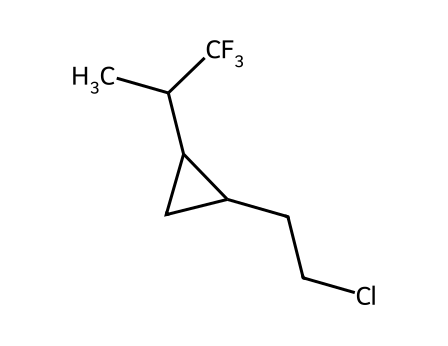 CC(C1CC1CCCl)C(F)(F)F